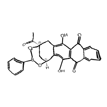 CC(=O)[C@]12Cc3c(O)c4c(c(O)c3[C@H](C1)OB(c1ccccc1)O2)C(=O)c1ccccc1C4=O